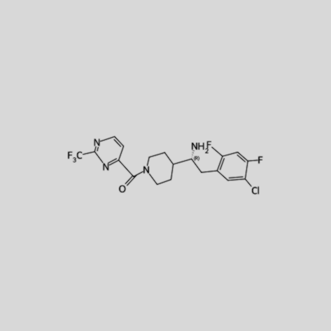 N[C@H](Cc1cc(Cl)c(F)cc1F)C1CCN(C(=O)c2ccnc(C(F)(F)F)n2)CC1